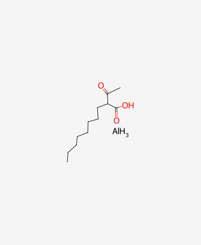 CCCCCCCCC(C(C)=O)C(=O)O.[AlH3]